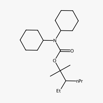 CCCC(CC)C(C)(C)OC(=O)N(C1CCCCC1)C1CCCCC1